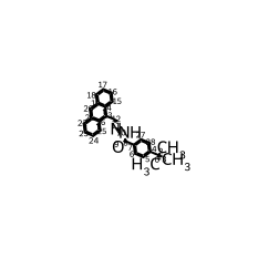 CC(C)(C)c1ccc(C(=O)N/N=C/c2c3ccccc3cc3ccccc23)cc1